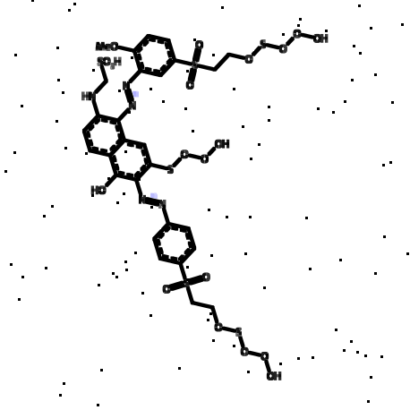 COc1ccc(S(=O)(=O)CCOSOOO)cc1/N=N/c1c(NCS(=O)(=O)O)ccc2c(O)c(/N=N/c3ccc(S(=O)(=O)CCOSOOO)cc3)c(SOOO)cc12